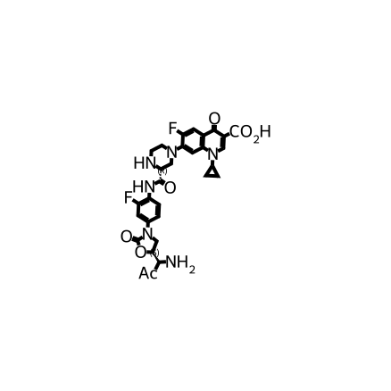 CC(=O)C(N)[C@@H]1CN(c2ccc(NC(=O)[C@H]3CN(c4cc5c(cc4F)c(=O)c(C(=O)O)cn5C4CC4)CCN3)c(F)c2)C(=O)O1